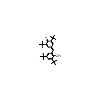 CC(C)(C)C1=CC(=Cc2cc(C(C)(C)C)cc(C(C)(C)C)c2O)C=C(C(C)(C)C)C1=O